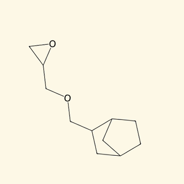 C1CC2CC1CC2COCC1CO1